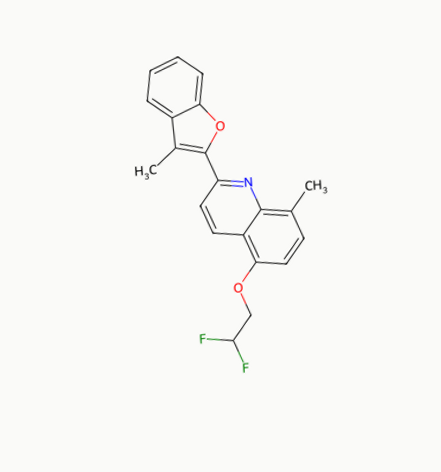 Cc1c(-c2ccc3c(OCC(F)F)ccc(C)c3n2)oc2ccccc12